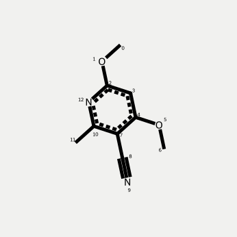 COc1cc(OC)c(C#N)c(C)n1